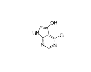 Oc1c[nH]c2ncnc(Cl)c12